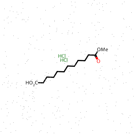 COC(=O)CCCCCCCCCCC(=O)O.Cl.Cl